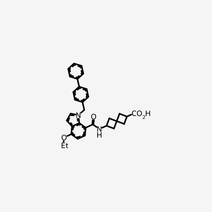 CCOc1ccc(C(=O)NC2CC3(C2)CC(C(=O)O)C3)c2c1ccn2Cc1ccc(-c2ccccc2)cc1